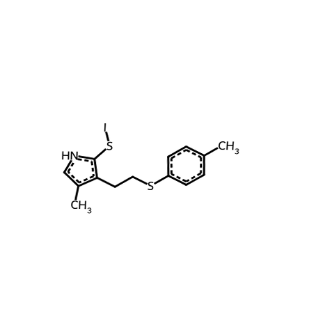 Cc1ccc(SCCc2c(C)c[nH]c2SI)cc1